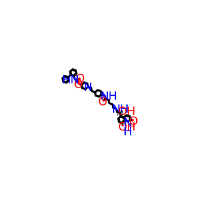 O=C(CCCCNC[C@H](O)c1ccc(O)c2[nH]c(=O)ccc12)NC1CCC(CCN2CCC(OC(=O)Nc3ccccc3-c3ccccc3)CC2)CC1